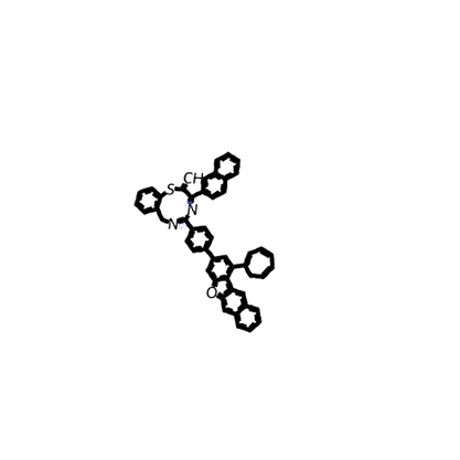 C=C1Sc2ccccc2C/N=C(c2ccc(-c3cc(C4=CC=CC=CC4)c4c(c3)oc3cc5ccccc5cc34)cc2)\N=C/1c1ccc2ccccc2c1